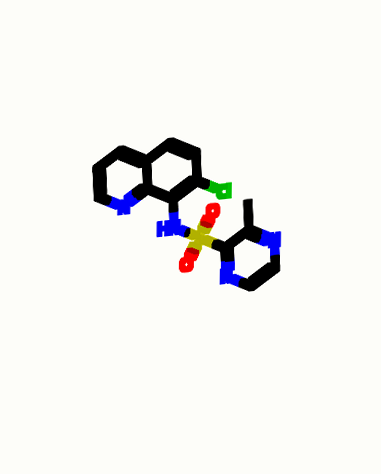 Cc1nccnc1S(=O)(=O)Nc1c(Cl)ccc2cccnc12